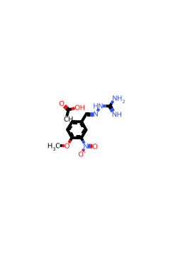 CC(=O)O.COc1ccc(C=NNC(=N)N)cc1[N+](=O)[O-]